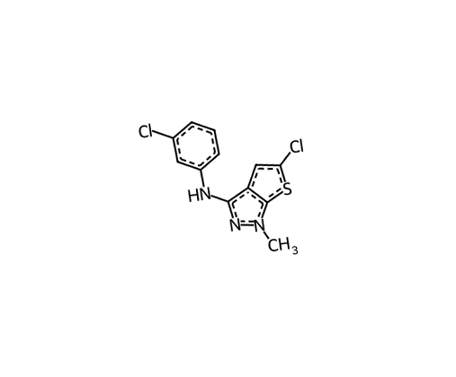 Cn1nc(Nc2cccc(Cl)c2)c2cc(Cl)sc21